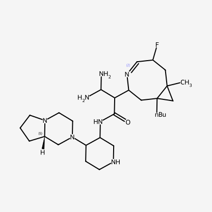 CCCCC12CC(C(C(=O)NC3CNCCC3N3CCN4CCC[C@H]4C3)C(N)N)/N=C\C(F)CC1(C)C2